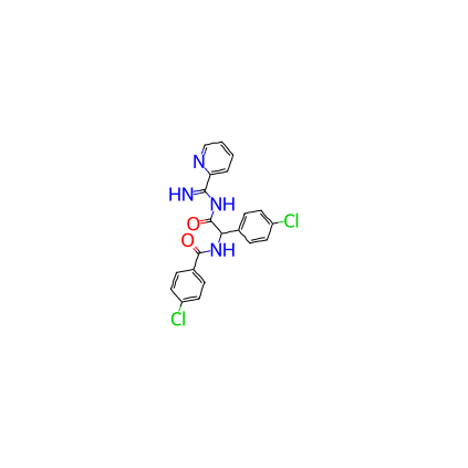 N=C(NC(=O)C(NC(=O)c1ccc(Cl)cc1)c1ccc(Cl)cc1)c1ccccn1